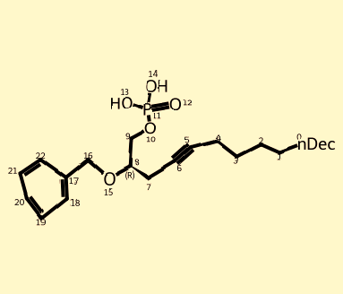 CCCCCCCCCCCCCCC#CC[C@H](COP(=O)(O)O)OCc1ccccc1